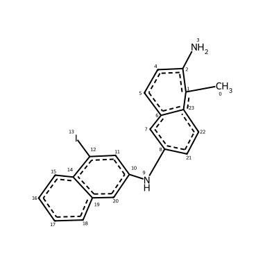 Cc1c(N)ccc2cc(Nc3cc(I)c4ccccc4c3)ccc12